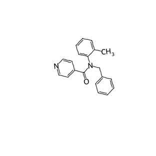 Cc1ccccc1N(Cc1ccccc1)C(=O)c1ccncc1